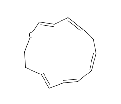 [C]1=C/C\C=C/C=C/C=C/CCC/C=C/1